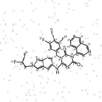 O=c1nc(Nc2ccc3nn(CC(F)F)cc3c2)n(Cc2cc(F)c(F)c(F)c2)c(=O)n1-c1cncc2ccccc12